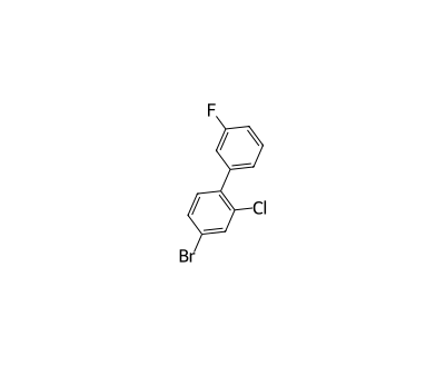 Fc1cccc(-c2ccc(Br)cc2Cl)c1